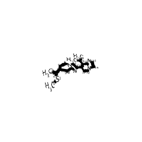 CSC(C)c1ccn2cc(-c3ccn4ccnc4c3C(C)C)nc2c1